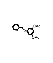 CC(=O)Oc1cc(OCc2ccccc2)cc(OC(C)=O)c1